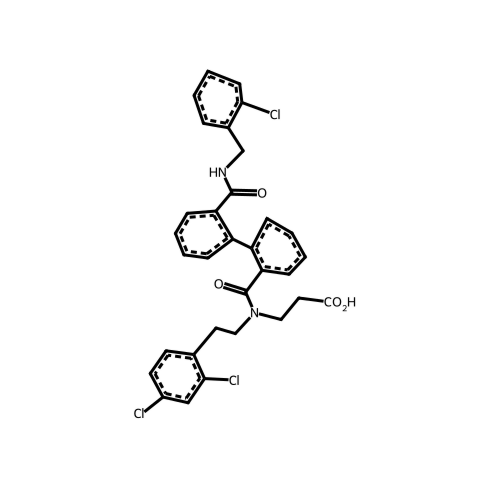 O=C(O)CCN(CCc1ccc(Cl)cc1Cl)C(=O)c1ccccc1-c1ccccc1C(=O)NCc1ccccc1Cl